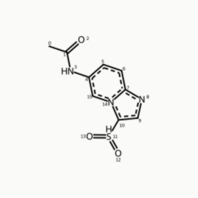 CC(=O)Nc1ccc2ncc([SH](=O)=O)n2c1